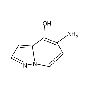 Nc1ccn2nccc2c1O